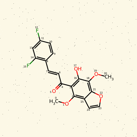 COc1c(C(=O)/C=C/c2ccc(F)cc2F)c(O)c(OC)c2occc12